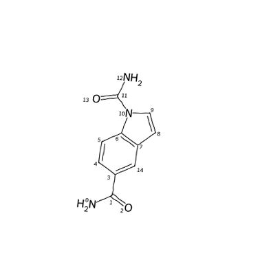 NC(=O)c1ccc2c(ccn2C(N)=O)c1